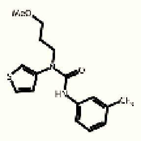 COCCCN(C(=O)Nc1cccc(C(F)(F)F)c1)c1ccsc1